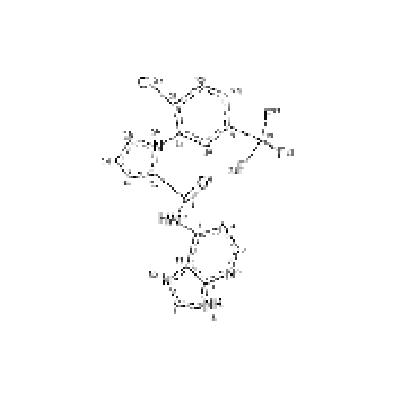 O=C(Nc1ncnc2[nH]cnc12)c1cccn1-c1cc(C(F)(F)F)ccc1Cl